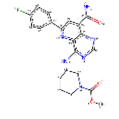 CC(C)(C)OC(=O)N1CCC[C@H](Nc2ncnc3c(C(N)=O)cc(-c4ccc(F)cc4)nc23)C1